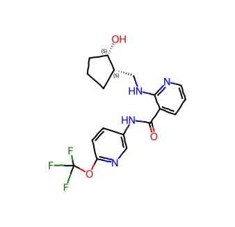 O=C(Nc1ccc(OC(F)(F)F)nc1)c1cccnc1NC[C@@H]1CCC[C@@H]1O